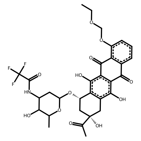 CCOCOc1cccc2c1C(=O)c1c(O)c3c(c(O)c1C2=O)C[C@@](O)(C(C)=O)C[C@@H]3OC1CC(NC(=O)C(F)(F)F)C(O)C(C)O1